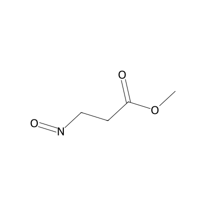 COC(=O)CCN=O